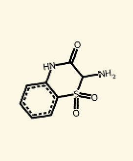 NC1C(=O)Nc2ccccc2S1(=O)=O